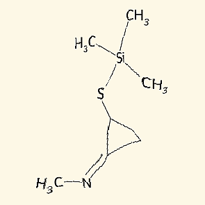 CN=C1CC1S[Si](C)(C)C